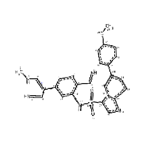 CN/C=C(\C=N)c1cnc(C=N)c(NS(=O)(=O)c2cnc3ccc(-c4ccc(OC)cc4)cn23)c1